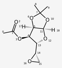 CC(=O)O[C@H]1[C@H]2OC(C)(C)O[C@H]2O[C@@H]1[C@@H]1CO1